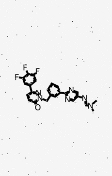 CN(C)C=Nc1cnc(-c2cccc(Cn3nc(-c4cc(F)c(F)c(F)c4)ccc3=O)c2)nc1